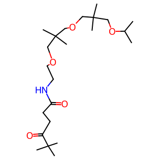 CC(C)OCC(C)(C)COCC(C)(C)COCCNC(=O)CCC(=O)C(C)(C)C